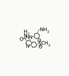 CS(=O)(=O)c1ccc2ncc(C(N)=O)c(Nc3cccc(CN)c3)c2c1